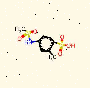 Cc1cc(NS(C)(=O)=O)ccc1S(=O)(=O)O